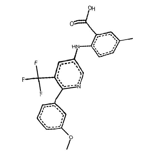 COc1cccc(-c2ncc(Nc3ccc(C)cc3C(=O)O)cc2C(F)(F)F)c1